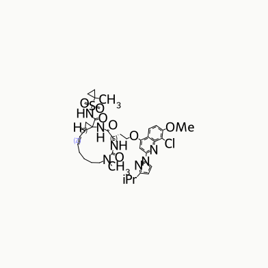 COc1ccc2c(OCC[C@@H]3NC(=O)N(C)CCCC/C=C\[C@@H]4CC4(C(=O)NS(=O)(=O)C4(C)CC4)NC3=O)cc(-n3ccc(C(C)C)n3)nc2c1Cl